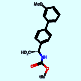 COc1cccc(-c2ccc([C@H](NC(=O)OC(C)(C)C)C(=O)O)cc2)c1